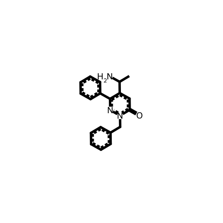 CC(N)c1cc(=O)n(Cc2ccccc2)nc1-c1ccccc1